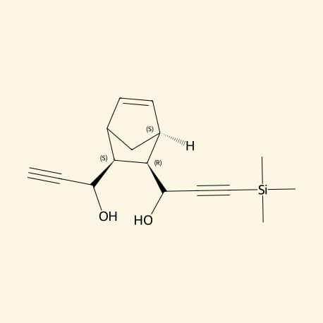 C#CC(O)[C@H]1C2C=C[C@H](C2)[C@H]1C(O)C#C[Si](C)(C)C